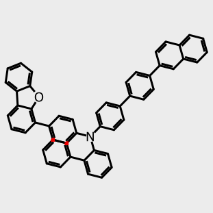 c1ccc(-c2ccccc2N(c2ccc(-c3ccc(-c4ccc5ccccc5c4)cc3)cc2)c2ccc(-c3cccc4c3oc3ccccc34)cc2)cc1